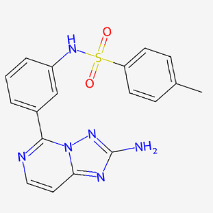 Cc1ccc(S(=O)(=O)Nc2cccc(-c3nccc4nc(N)nn34)c2)cc1